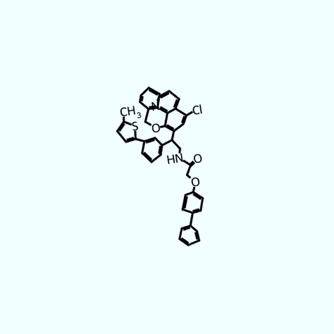 Cc1ccc(-c2cccc(C(CNC(=O)COc3ccc(-c4ccccc4)cc3)c3cc(Cl)c4cccnc4c3OCc3ccccc3)c2)s1